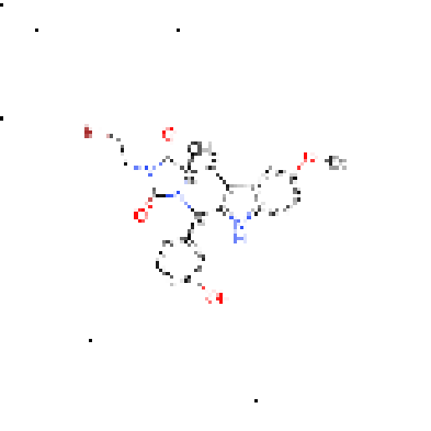 CCOc1ccc2[nH]c3c(c2c1)C[C@@]1(C)C(=O)N(CCBr)C(=O)N1[C@@H]3c1cccc(O)c1